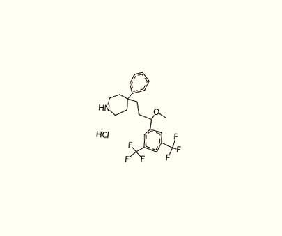 COC(CCC1(c2ccccc2)CCNCC1)c1cc(C(F)(F)F)cc(C(F)(F)F)c1.Cl